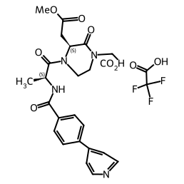 COC(=O)C[C@H]1C(=O)N(CC(=O)O)CCN1C(=O)[C@H](C)NC(=O)c1ccc(-c2ccncc2)cc1.O=C(O)C(F)(F)F